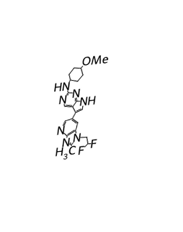 COC1CCC(Nc2ncc3c(-c4cnc5nc(C)n(CC(F)F)c5c4)c[nH]c3n2)CC1